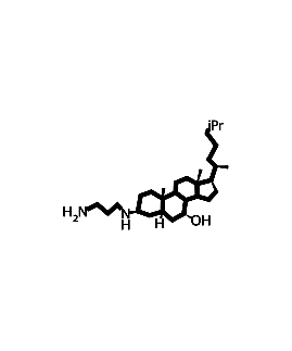 CC(C)CCC[C@@H](C)[C@H]1CCC2C3C(CC[C@@]21C)[C@@]1(C)CC[C@H](NCCCN)C[C@@H]1C[C@H]3O